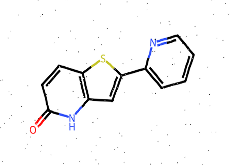 O=c1ccc2sc(-c3ccccn3)cc2[nH]1